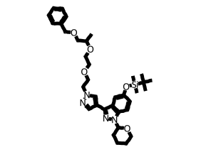 CC(COCc1ccccc1)OCCOCCn1cc(-c2nn(C3CCCCO3)c3ccc(O[Si](C)(C)C(C)(C)C)cc23)cn1